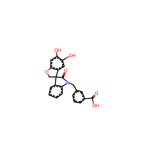 O=C(O)c1cccc(CN2C(=O)C3(COc4cc(O)c(O)cc43)c3ccccc32)c1